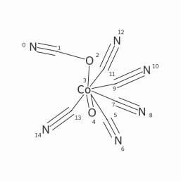 N#C[O][Co](=[O])([C]#N)([C]#N)([C]#N)([C]#N)[C]#N